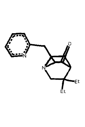 CCC1(CC)CN2CCC1C(=O)C2Cc1ccccn1